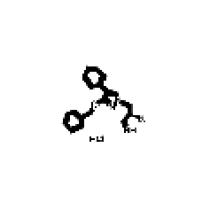 CC[C@@H](C=N)Cn1cc(-c2ccccc2)c(OCc2ccccc2)n1.Cl